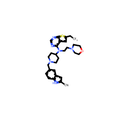 N#Cc1cc2cc(CN3CCC(N(CCN4CCOCC4)c4ncnc5sc(CC(F)(F)F)cc45)CC3)ccc2[nH]1